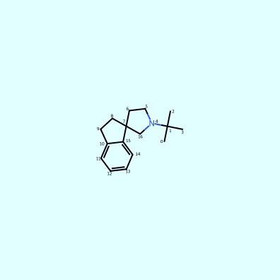 CC(C)(C)N1CCC2(CCc3ccccc32)C1